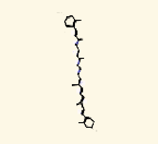 CC1=C(/C=C/C(C)=C/C=C/C(C)=C/C=C/C=C(C)/C=C/C=C(C)/C=C/C2=C(C)C[C@@H](O)C[C@H]2C)[C@H](C)C[C@H](O)C1